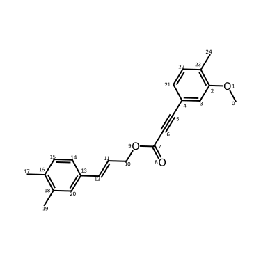 COc1cc(C#CC(=O)OC/C=C/c2ccc(C)c(C)c2)ccc1C